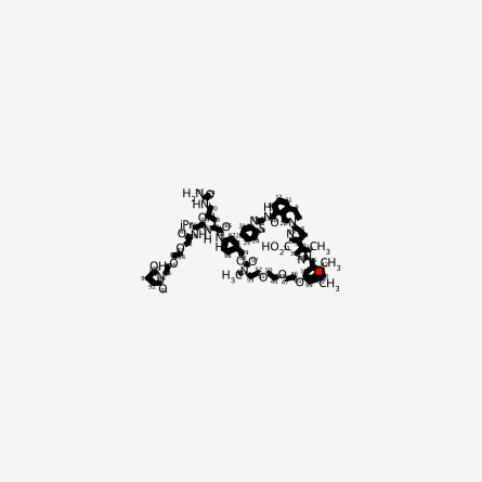 Cc1c(-c2ccc(N3CCc4cccc(C(=O)Nc5nc6ccccc6s5)c4C3)nc2C(=O)O)cnn1CC12CC3(C)CC1(C)C[C@](OCCOCCOCCN(C)C(=O)OCc1ccc(NC(=O)[C@H](CCCNC(N)=O)NC(O)[C@@H](NC(=O)COCCOCCN4C(=O)C=CC4O)C(C)C)cc1)(C3)C2